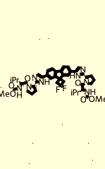 COC(=O)N[C@H](C(=O)N1CCC[C@H]1c1ncc(-c2ccc3c(c2)C2(CC(F)(F)C2)c2cc(-c4cnc([C@@H]5CCCN5C(=O)[C@@H](NC(=O)OC)C(C)C)[nH]4)ccc2-3)[nH]1)C(C)C